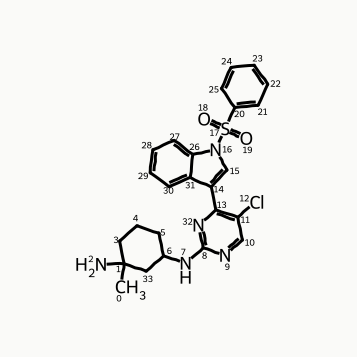 CC1(N)CCCC(Nc2ncc(Cl)c(-c3cn(S(=O)(=O)c4ccccc4)c4ccccc34)n2)C1